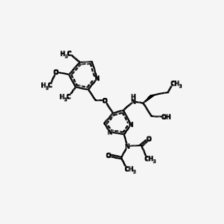 CCC[C@@H](CO)Nc1nc(N(C(C)=O)C(C)=O)ncc1OCc1ncc(C)c(OC)c1C